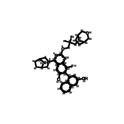 C[C@](F)(COc1nc(N2CC3CCC(C2)N3)c2cc(Cl)c(-c3cc(O)cc4ccccc34)c(F)c2n1)CN1C2CCC1COC2